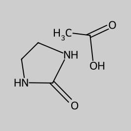 CC(=O)O.O=C1NCCN1